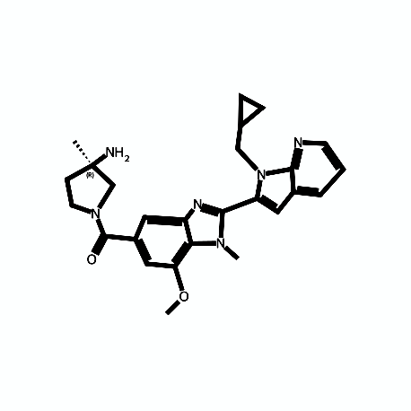 COc1cc(C(=O)N2CC[C@@](C)(N)C2)cc2nc(-c3cc4cccnc4n3CC3CC3)n(C)c12